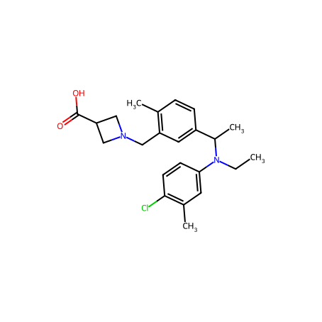 CCN(c1ccc(Cl)c(C)c1)C(C)c1ccc(C)c(CN2CC(C(=O)O)C2)c1